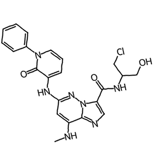 CNc1cc(Nc2cccn(-c3ccccc3)c2=O)nn2c(C(=O)NC(CO)CCl)cnc12